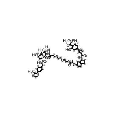 Cc1ncsc1-c1ccc(CNC(=O)[C@@H]2C[C@@H](O)CN2C(=O)[C@@H](NC(=O)CCOCCOCCNC(=O)COc2ccc3c(c2)[C@H](NC(=O)c2cc(-c4ccc(C(=O)N(C)C)c(O)c4)on2)CC3)C(C)(C)C)cc1